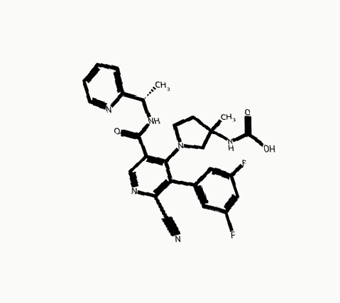 C[C@H](NC(=O)c1cnc(C#N)c(-c2cc(F)cc(F)c2)c1N1CCC(C)(NC(=O)O)C1)c1ccccn1